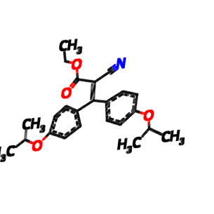 CCOC(=O)C(C#N)=C(c1ccc(OC(C)C)cc1)c1ccc(OC(C)C)cc1